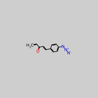 C=CC(=O)C=Cc1ccc(N=[N+]=[N-])cc1